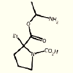 CCC1(C(=O)OC(C)N)CCCN1C(=O)O